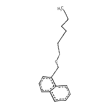 CCCCCCOCc1cccc2ccccc12